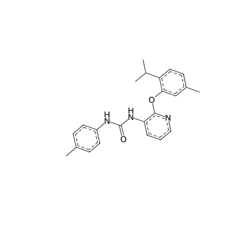 Cc1ccc(NC(=O)Nc2cccnc2Oc2cc(C)ccc2C(C)C)cc1